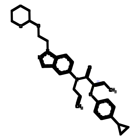 C=CCN(C(=O)/C(=C/C)Oc1ccc(C2CC2)cc1)c1ccc2c(cnn2CCOC2CCCCO2)c1